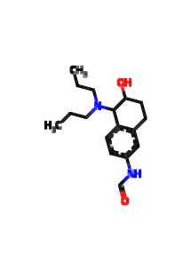 CCCN(CCC)C1c2ccc(NC=O)cc2CCC1O